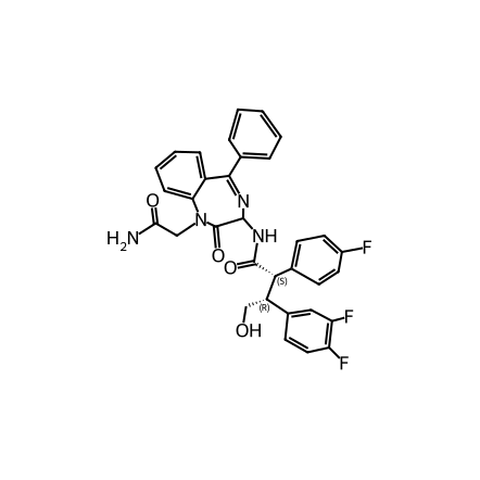 NC(=O)CN1C(=O)C(NC(=O)[C@H](c2ccc(F)cc2)[C@@H](CO)c2ccc(F)c(F)c2)N=C(c2ccccc2)c2ccccc21